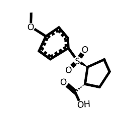 COc1ccc(S(=O)(=O)[C@H]2CCC[C@@H]2C(=O)O)cc1